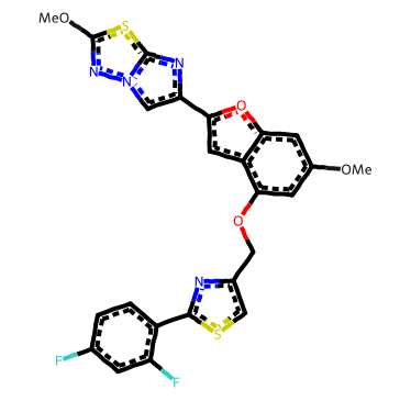 COc1cc(OCc2csc(-c3ccc(F)cc3F)n2)c2cc(-c3cn4nc(OC)sc4n3)oc2c1